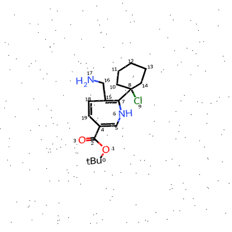 CC(C)(C)OC(=O)C1=CNC(C2(Cl)CCCCC2)=C(CN)C=C1